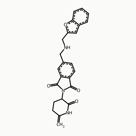 C=C1CCC(N2C(=O)c3ccc(CNCc4cc5ccccc5o4)cc3C2=O)C(=O)N1